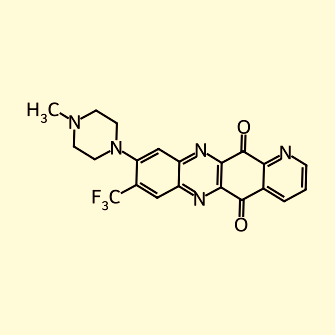 CN1CCN(c2cc3nc4c(nc3cc2C(F)(F)F)C(=O)c2cccnc2C4=O)CC1